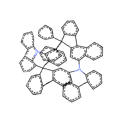 c1ccc(-c2ccccc2N(c2ccc3c(c2)C2(c4ccccc4-3)c3ccccc3-n3c4ccccc4c4cccc2c43)c2cc3c(c4ccccc24)-c2ccccc2C3(c2ccccc2)c2ccccc2)cc1